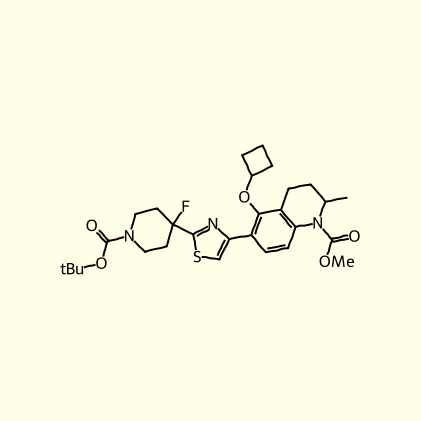 COC(=O)N1c2ccc(-c3csc(C4(F)CCN(C(=O)OC(C)(C)C)CC4)n3)c(OC3CCC3)c2CCC1C